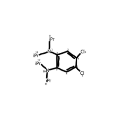 CC(C)N(c1cc(Cl)c(Cl)cc1N(C(C)C)C(C)C)C(C)C